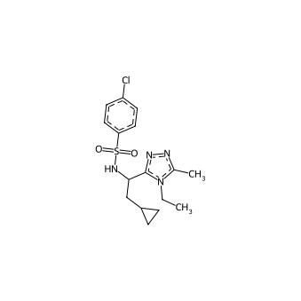 CCn1c(C)nnc1C(CC1CC1)NS(=O)(=O)c1ccc(Cl)cc1